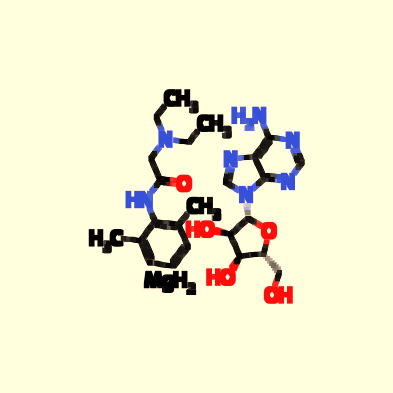 CCN(CC)CC(=O)Nc1c(C)cccc1C.Nc1ncnc2c1ncn2[C@@H]1O[C@H](CO)[C@@H](O)[C@H]1O.[MgH2]